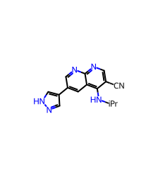 CC(C)Nc1c(C#N)cnc2ncc(-c3cn[nH]c3)cc12